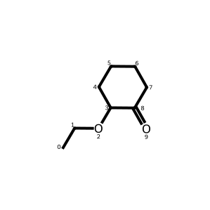 CCOC1CCCCC1=O